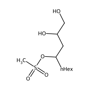 CCCCCCC(CC(O)CO)OS(C)(=O)=O